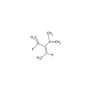 C=C(C)/C(C(=C)F)=C(/C)F